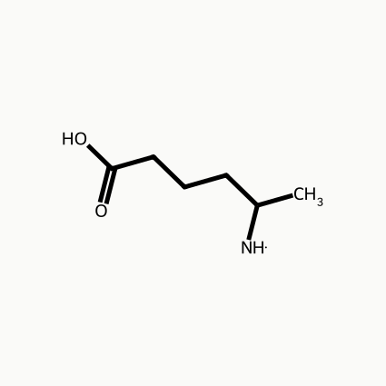 CC([NH])CCCC(=O)O